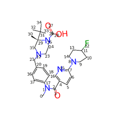 CN(C(=O)c1ccc(N2CCC(F)CC2)nc1)c1ccc(CN2CCN(C(=O)O)[C@@](C)(C(C)(C)C)C2)cc1